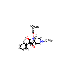 COCCON1C(=O)C(c2c(C)cccc2C)=C(O)C12CCN(OC)CC2